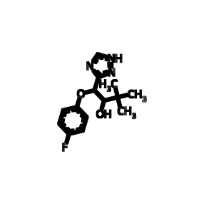 CC(C)(C)C(O)C(Oc1ccc(F)cc1)c1nc[nH]n1